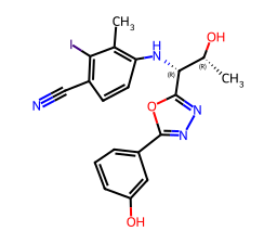 Cc1c(N[C@@H](c2nnc(-c3cccc(O)c3)o2)[C@@H](C)O)ccc(C#N)c1I